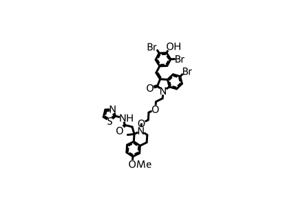 COc1ccc2c(c1)CCN(OCCOCCN1C(=O)C(=Cc3cc(Br)c(O)c(Br)c3)c3cc(Br)ccc31)C2(C)CC(=O)Nc1nccs1